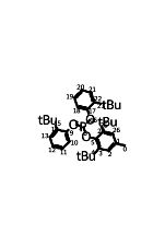 Cc1cc(C(C)(C)C)c(OP(Oc2ccccc2C(C)(C)C)Oc2ccccc2C(C)(C)C)c(C(C)(C)C)c1